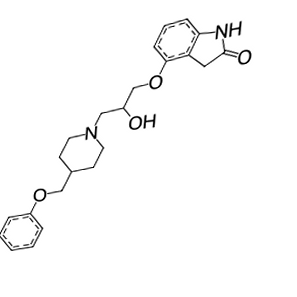 O=C1Cc2c(cccc2OCC(O)CN2CCC(COc3ccccc3)CC2)N1